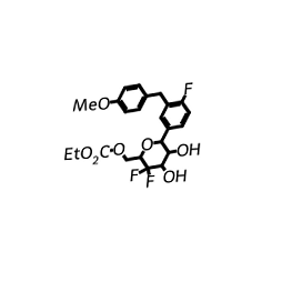 CCOC(=O)OCC1OC(c2ccc(F)c(Cc3ccc(OC)cc3)c2)C(O)C(O)C1(F)F